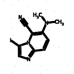 CN(C)c1ccc2ncc(I)n2c1C#N